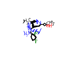 Cc1nnc(N[C@H](N)c2ccc(F)cc2F)c2cc(C3CC(C)(O)C3)ncc12